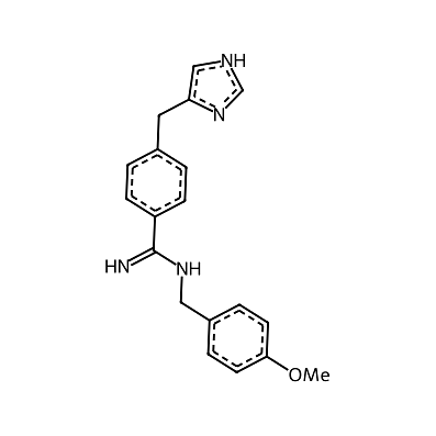 COc1ccc(CNC(=N)c2ccc(Cc3c[nH]cn3)cc2)cc1